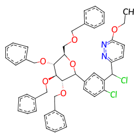 CCOc1ccc(C(Cl)c2cc(C3O[C@H](COCc4ccccc4)[C@@H](OCc4ccccc4)[C@H](OCc4ccccc4)[C@H]3OCc3ccccc3)ccc2Cl)nn1